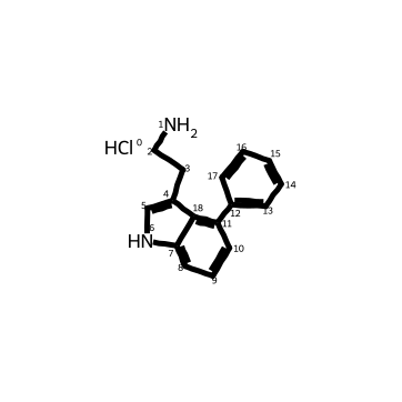 Cl.NCCc1c[nH]c2cccc(-c3ccccc3)c12